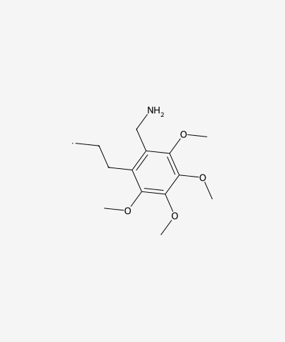 [CH2]CCc1c(CN)c(OC)c(OC)c(OC)c1OC